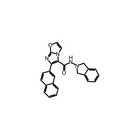 O=C(NN1Cc2ccccc2C1)c1c(-c2ccc3ccccc3c2)nc2occn12